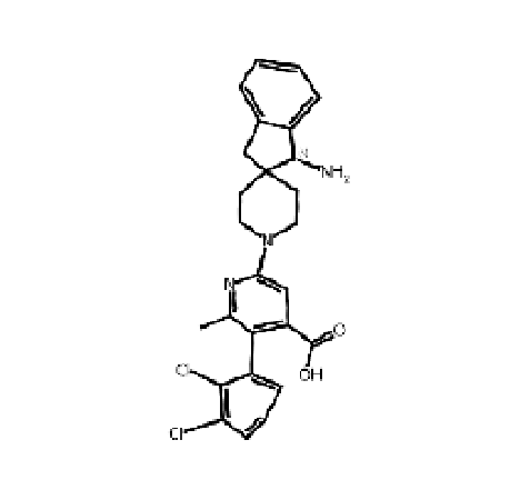 Cc1nc(N2CCC3(CC2)Cc2ccccc2[C@H]3N)cc(C(=O)O)c1-c1cccc(Cl)c1Cl